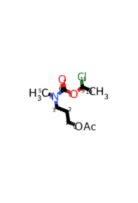 CC(=O)OCCCN(C)C(=O)OC(C)Cl